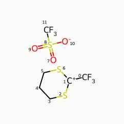 FC(F)(F)[C+]1SCCCS1.O=S(=O)([O-])C(F)(F)F